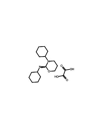 C1CCC(N=C2OCCCN2C2CCCCC2)CC1.O=C(O)C(=O)O